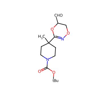 CC(C)(C)OC(=O)N1CCC(C)(C2=NOCC(C=O)O2)CC1